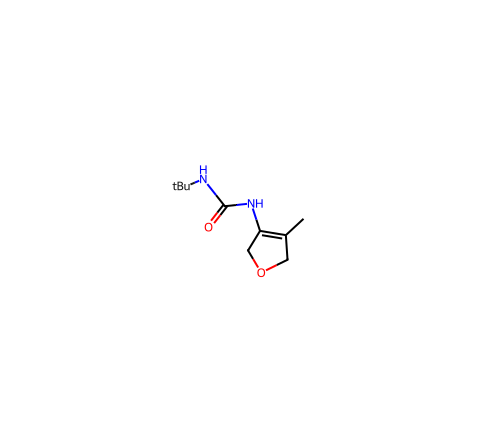 CC1=C(NC(=O)NC(C)(C)C)COC1